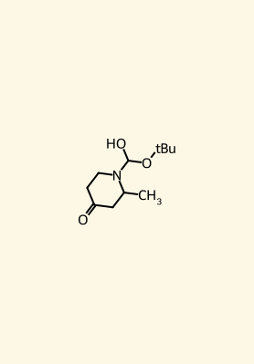 CC1CC(=O)CCN1C(O)OC(C)(C)C